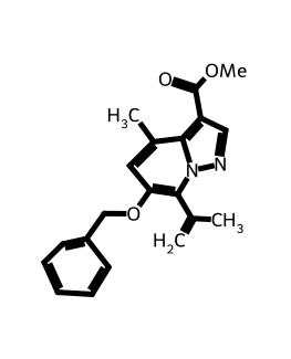 C=C(C)c1c(OCc2ccccc2)cc(C)c2c(C(=O)OC)cnn12